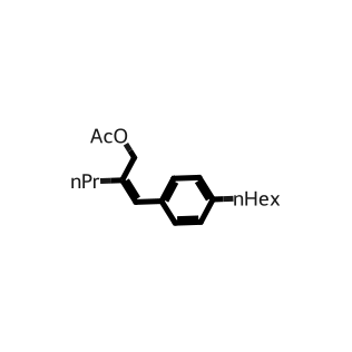 CCCCCCc1ccc(C=C(CCC)COC(C)=O)cc1